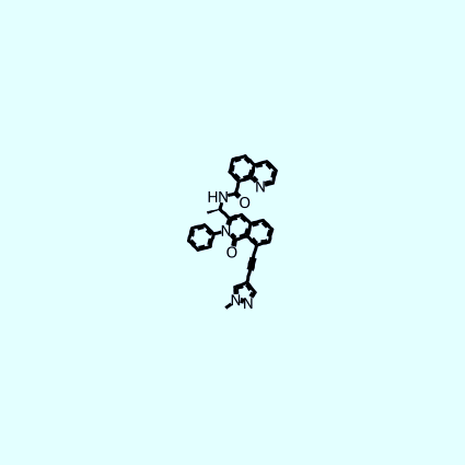 C[C@@H](NC(=O)c1cccc2cccnc12)c1cc2cccc(C#Cc3cnn(C)c3)c2c(=O)n1-c1ccccc1